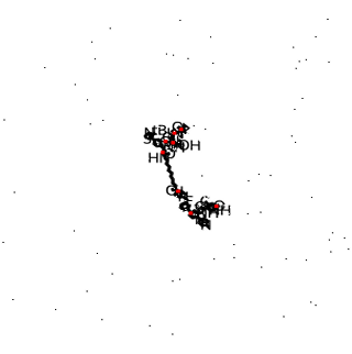 Cc1ncsc1-c1ccc(C(CC(=O)NCCCCCCCCCC(=O)N2CCN(Cc3cccc(-c4ccc(N5CCN(C)CC5)c(NC(=O)c5c[nH]c(=O)cc5C(F)(F)F)c4)c3)CC2)NC(=O)[C@@H]2C[C@@H](O)CN2C(=O)C(NC(=O)C2(F)CC2)C(C)(C)C)cc1